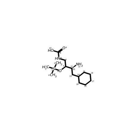 C[Si](C)(C)OC(CNC(=O)O)[C@@H](N)CC1CCCCC1